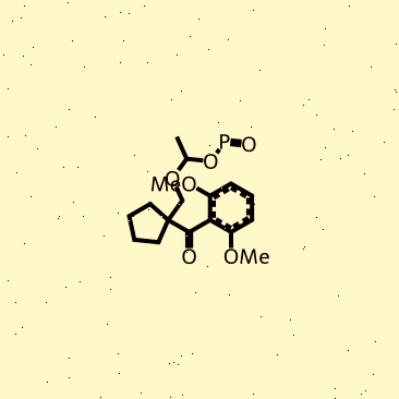 COc1cccc(OC)c1C(=O)C1(COC(C)OP=O)CCCC1